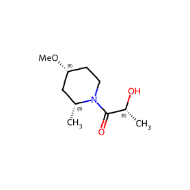 CO[C@@H]1CCN(C(=O)[C@@H](C)O)[C@H](C)C1